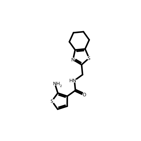 Nc1sccc1C(=O)NCc1nc2c(s1)CCCC2